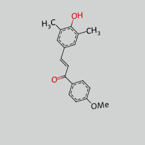 COc1ccc(C(=O)C=Cc2cc(C)c(O)c(C)c2)cc1